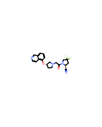 N#C[C@@H]1CC(F)(F)CN1C(=O)CN1CC[C@H](Oc2cccc3cnccc23)C1